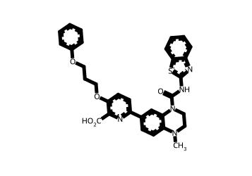 CN1CCN(C(=O)Nc2nc3ccccc3s2)c2cc(-c3ccc(OCCCOc4ccccc4)c(C(=O)O)n3)ccc21